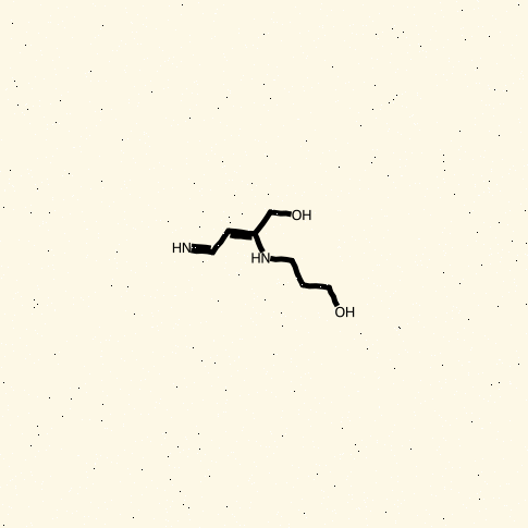 N=C/C=C(/CO)NCCCO